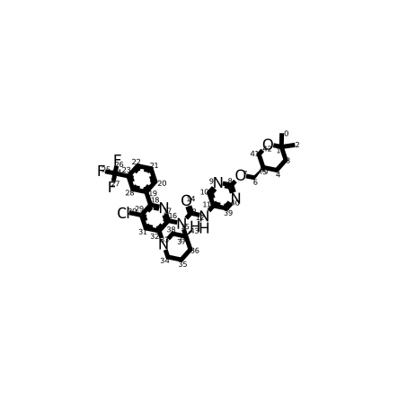 CC1(C)CC[C@@H](COc2ncc(NC(=O)N3c4nc(-c5cccc(C(F)(F)F)c5)c(Cl)cc4N4CCC[C@H]3C4)cn2)CO1